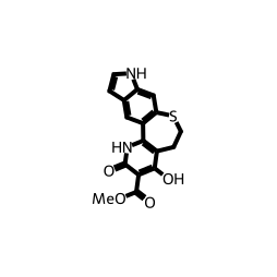 COC(=O)c1c(O)c2c([nH]c1=O)-c1cc3cc[nH]c3cc1SCC2